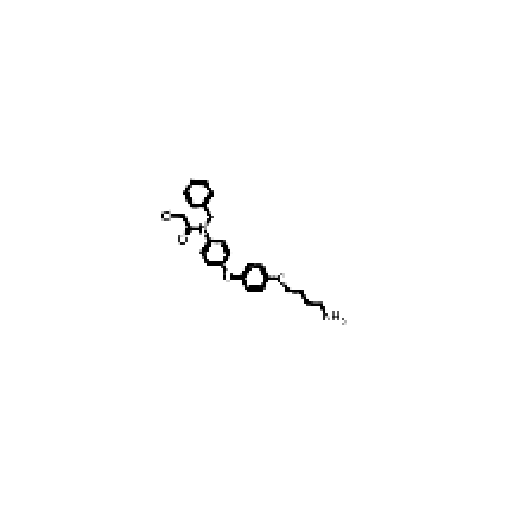 NCCCCOc1ccc(Oc2ccc(N(Cc3ccccc3)C(=O)CCl)cc2)cc1